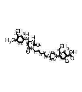 CCc1cc(Nc2cc(=O)n(CCCCCN3CCN(c4cc(=O)c(C(=O)O)cn4CC)CC3)c(=O)[nH]2)ccc1C